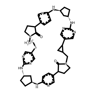 CSc1cnc(N[C@H]2CC[C@H](Nc3ccc(C4CCN(CC5CC5c5cnc(N[C@H]6CC[C@H](Nc7ccc(C8CCN(C)C8=O)cn7)C6)nc5)C4=O)cn3)C2)nc1